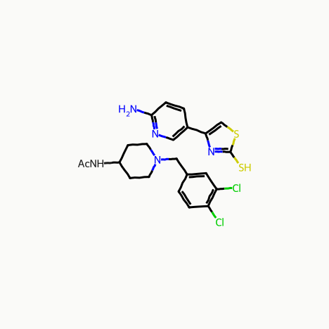 CC(=O)NC1CCN(Cc2ccc(Cl)c(Cl)c2)CC1.Nc1ccc(-c2csc(S)n2)cn1